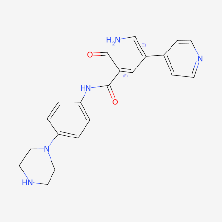 N/C=C(\C=C(/C=O)C(=O)Nc1ccc(N2CCNCC2)cc1)c1ccncc1